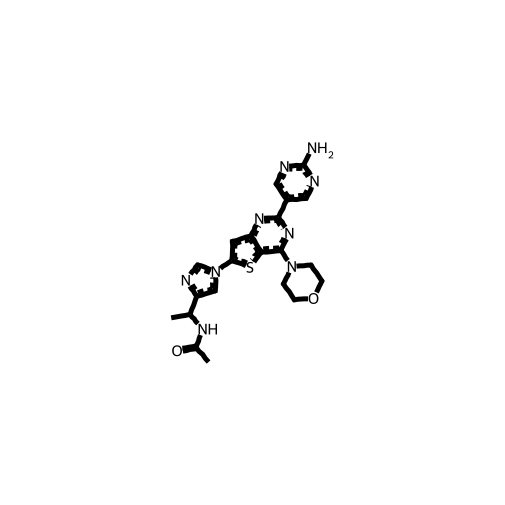 CC(=O)NC(C)c1cn(-c2cc3nc(-c4cnc(N)nc4)nc(N4CCOCC4)c3s2)cn1